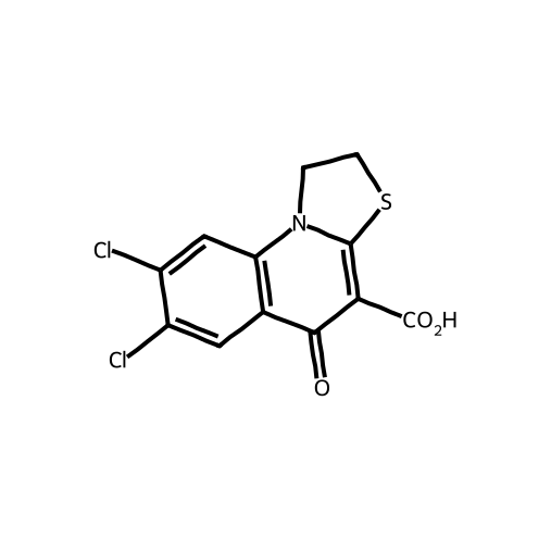 O=C(O)c1c2n(c3cc(Cl)c(Cl)cc3c1=O)CCS2